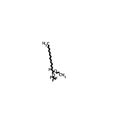 CCCCCCCCCCCCCCC(F)C(COC(F)=C(F)F)OCCC